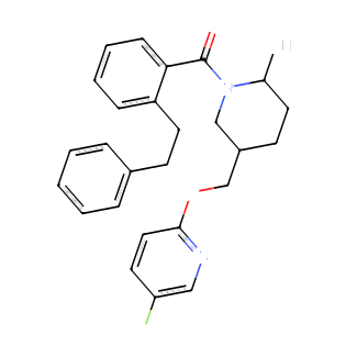 CC1CCC(COc2ccc(F)cn2)CN1C(=O)c1ccccc1CCc1ccccc1